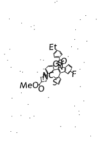 CCc1ccc(S(=O)(=O)n2c(-c3cccc(N4CC(C(=O)OC)C4)c3)c(-c3ccsc3C#N)c3cc(F)ccc32)cc1